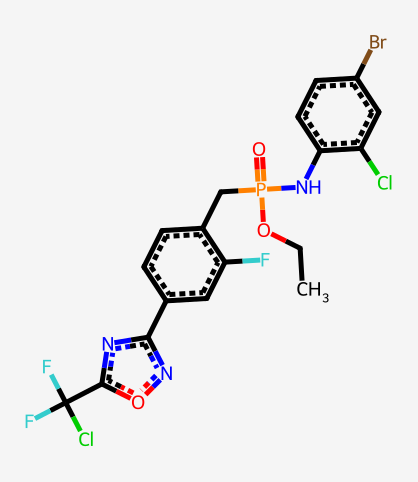 CCOP(=O)(Cc1ccc(-c2noc(C(F)(F)Cl)n2)cc1F)Nc1ccc(Br)cc1Cl